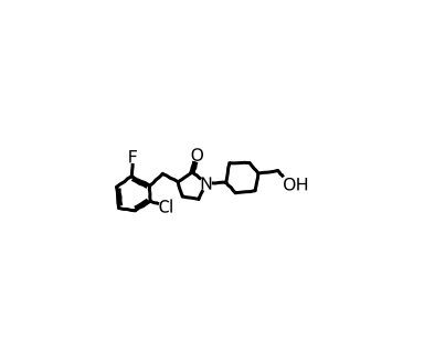 O=C1C(Cc2c(F)cccc2Cl)CCN1C1CCC(CO)CC1